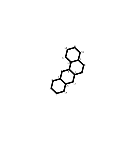 C1CCC2CC3C(CCC4CCCCC43)CC2C1